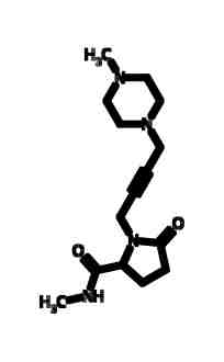 CNC(=O)C1CCC(=O)N1CC#CCN1CCN(C)CC1